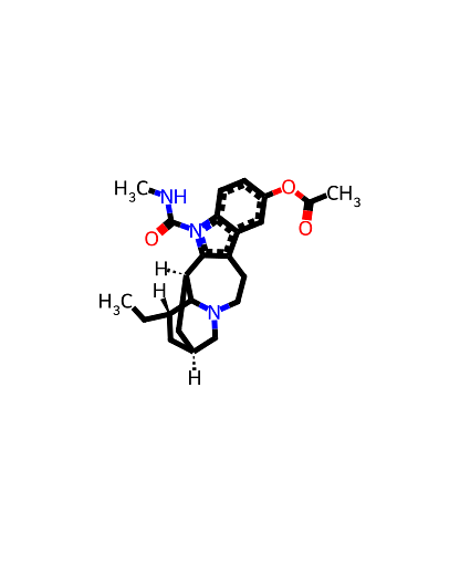 CC[C@H]1C[C@H]2C[C@H]3c4c(c5cc(OC(C)=O)ccc5n4C(=O)NC)CCN(C2)C13